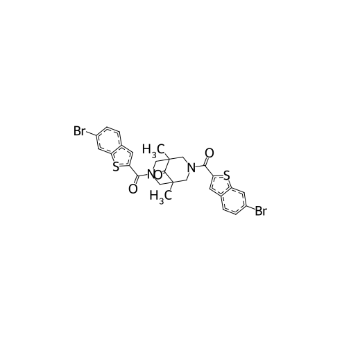 CC12CN(C(=O)c3cc4ccc(Br)cc4s3)CC(C)(CN(C(=O)c3cc4ccc(Br)cc4s3)C1)C2=O